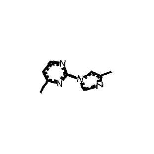 Cc1cn(-c2nccc(C)n2)cn1